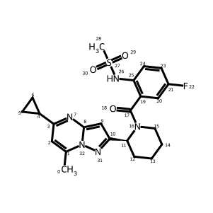 Cc1cc(C2CC2)nc2cc([C@@H]3CCCCN3C(=O)c3cc(F)ccc3NS(C)(=O)=O)nn12